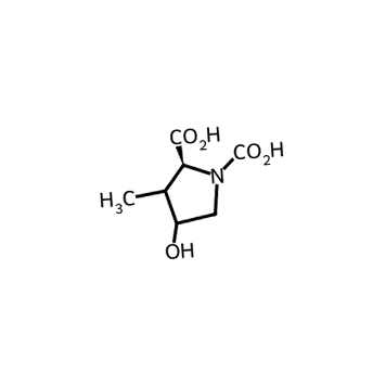 CC1C(O)CN(C(=O)O)[C@@H]1C(=O)O